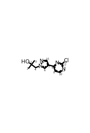 CC(C)(O)Cn1cc(-c2ccnc(Cl)n2)cn1